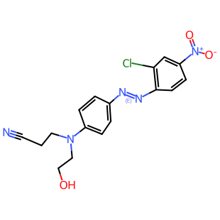 N#CCCN(CCO)c1ccc(/N=N/c2ccc([N+](=O)[O-])cc2Cl)cc1